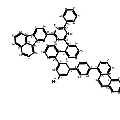 N#CC1=CC(c2ccc(-c3cccc4c3ccc3ccccc34)cc2)CC(c2ccccc2-c2ccccc2-c2nc(-c3ccccc3)nc(-c3ccc4c(c3)-c3cccc5cccc-4c35)n2)=C1